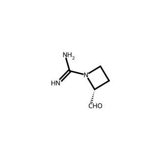 N=C(N)N1CC[C@@H]1C=O